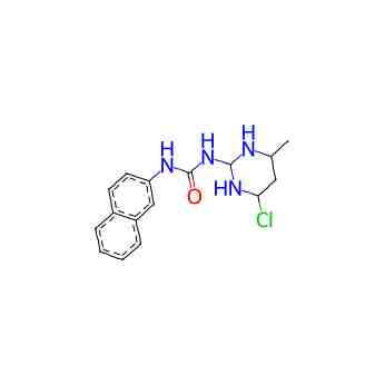 CC1CC(Cl)NC(NC(=O)Nc2ccc3ccccc3c2)N1